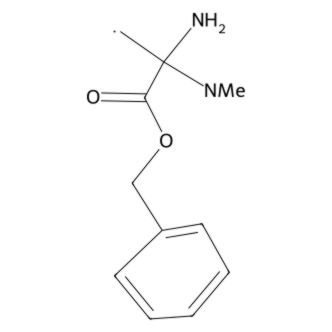 [CH2]C(N)(NC)C(=O)OCc1ccccc1